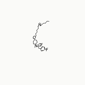 CCCCCN(C)CCCCCCO[C@H]1CC[C@H](N(C)C(=O)Cc2ccc(F)cc2F)CC1